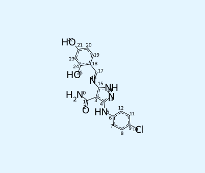 NC(=O)c1c(Nc2ccc(Cl)cc2)n[nH]c1/N=C/c1ccc(O)cc1O